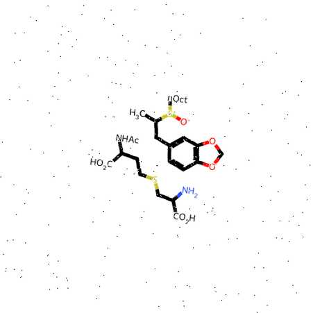 CC(=O)NC(CCSCC(N)C(=O)O)C(=O)O.CCCCCCCC[S+]([O-])C(C)Cc1ccc2c(c1)OCO2